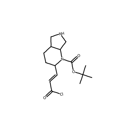 CC(C)(C)OC(=O)N1C(/C=C/C(=O)Cl)CCC2CNCC21